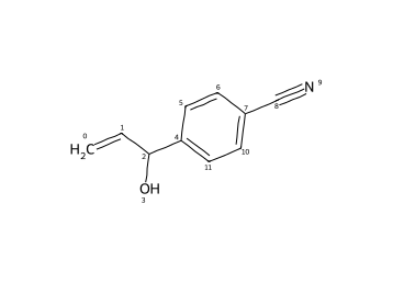 C=CC(O)c1ccc(C#N)cc1